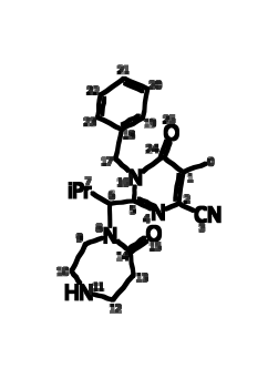 Cc1c(C#N)nc(C(C(C)C)N2CCNCCC2=O)n(Cc2ccccc2)c1=O